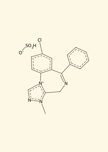 Cn1nc[n+]2c1CN=C(c1ccccc1)c1cc(Cl)ccc1-2.O=S(=O)([O-])O